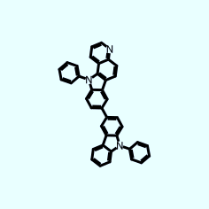 c1ccc(-n2c3ccccc3c3cc(-c4ccc5c(c4)c4ccc6ncccc6c4n5-c4ccccc4)ccc32)cc1